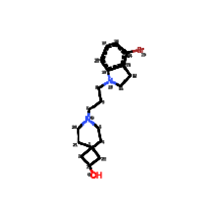 OC1CC2(CCN(CCCN3CCc4c(Br)cccc43)CC2)C1